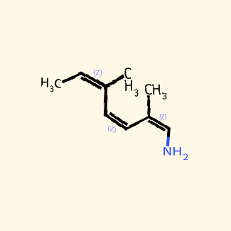 C\C=C(C)/C=C\C(C)=C/N